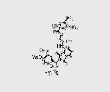 CCOc1cc(C(CS(C)(=O)=O)N2C(=O)c3cccc(N[C@@H](O)COC(=O)C(C)(CO[N+](=O)[O-])CO[N+](=O)[O-])c3C2=O)ccc1OC